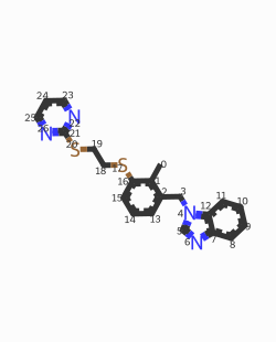 Cc1c(Cn2cnc3ccccc32)cccc1SCCSc1ncccn1